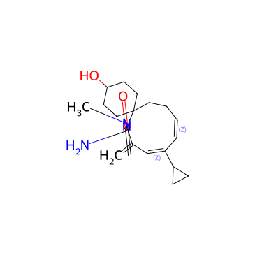 C=C1/C=C(C2CC2)\C=C/CCC2(CCC(O)CC2)C12N=C(N)N(C)C2=O